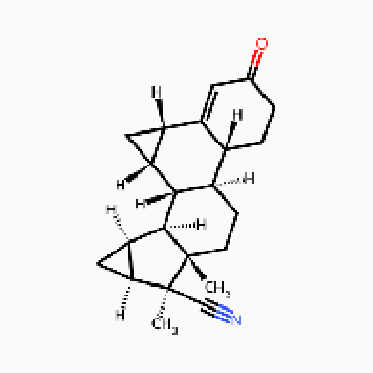 C[C@]1(C#N)[C@H]2C[C@H]2[C@H]2[C@@H]3[C@@H]4C[C@@H]4C4=CC(=O)CC[C@@H]4[C@H]3CC[C@@]21C